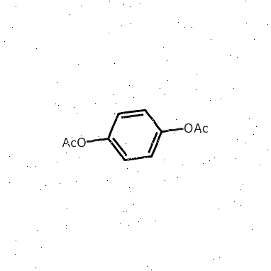 CC(=O)Oc1[c]cc(OC(C)=O)cc1